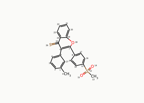 Cc1cccc(-c2c(-c3ccc(S(C)(=O)=O)cc3)oc3ccccc3c2=S)c1